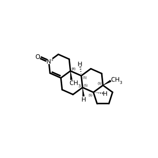 C[C@@]12CCC[C@H]1[C@@H]1CCC3=C[N+](=O)CC[C@]3(C)[C@H]1CC2